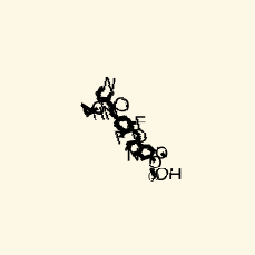 COc1cc2c(Oc3c(F)cc(NC(=O)c4cnccc4OC4CC4)cc3F)ccnc2cc1OC[C@H](C)O